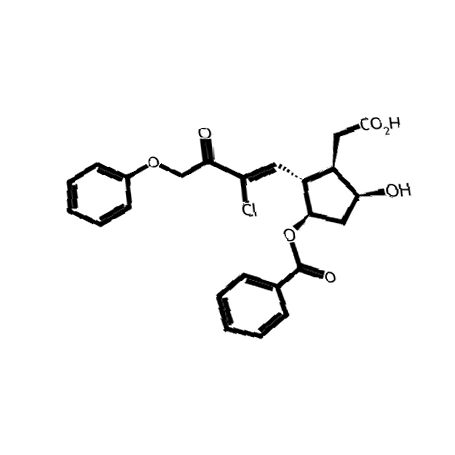 O=C(O)C[C@@H]1[C@@H](C=C(Cl)C(=O)COc2ccccc2)[C@H](OC(=O)c2ccccc2)C[C@@H]1O